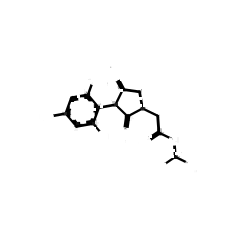 Cc1cc(C)c(C2C(=O)CC(CC(=O)NC(C)C)C2=O)c(C)c1